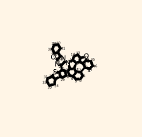 c1cc2c3c(c1)ccc1c3c3c4c(ccc3n1-c1nc3c(nc1-c1cccc5c1sc1ccccc15)oc1ccccc13)oc1cccc-2c14